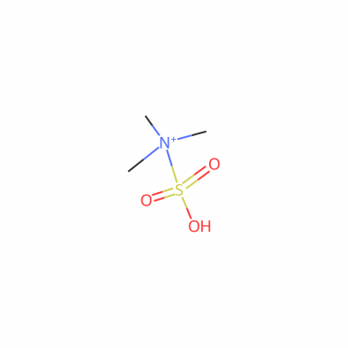 C[N+](C)(C)S(=O)(=O)O